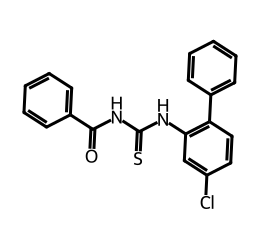 O=C(NC(=S)Nc1cc(Cl)ccc1-c1ccccc1)c1ccccc1